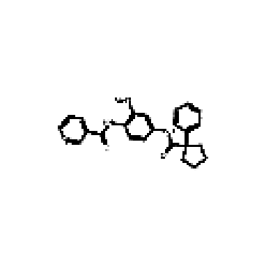 COc1cc(NC(=O)C2(c3ccccc3)CCCC2)ccc1NC(=O)c1cccnc1